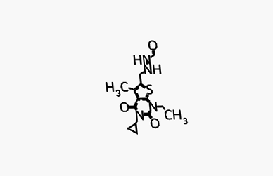 CCn1c(=O)n(C2CC2)c(=O)c2c(C)c(CNNC=O)sc21